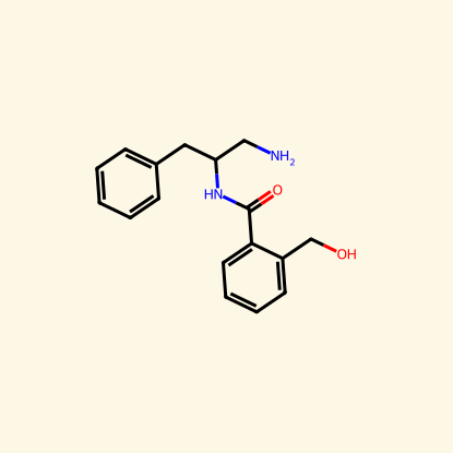 NCC(Cc1ccccc1)NC(=O)c1ccccc1CO